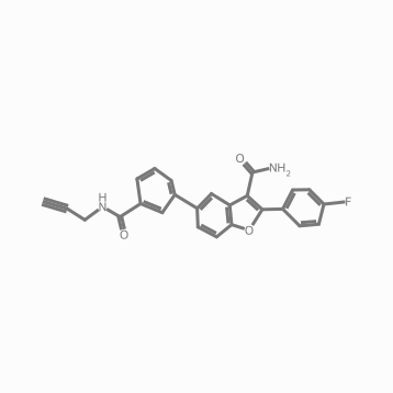 C#CCNC(=O)c1cccc(-c2ccc3oc(-c4ccc(F)cc4)c(C(N)=O)c3c2)c1